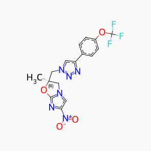 C[C@]1(Cn2cc(-c3ccc(OC(F)(F)F)cc3)nn2)Cn2cc([N+](=O)[O-])nc2O1